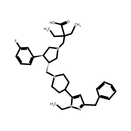 CCn1nc(Cc2ccccc2)cc1C1CCN(C[C@H]2CN(CC(CC)(CC)C(=O)O)C[C@@H]2c2cccc(F)c2)CC1